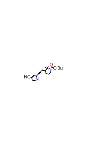 CC(C)COC(=O)N1CCC/C(=C\C#Cc2cc(C#N)ccn2)C1(C)C